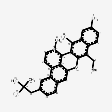 Cc1ccc2c(CC(C)(C)C)c3c(c(C)c2c1)-c1c2c(cc4ccc(CC(C)(C)C(F)(F)F)cc4c2cc[n+]1C)O3